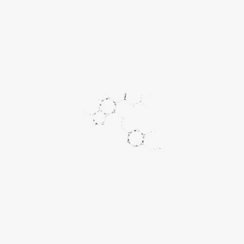 CCOC(=O)C(NC(=O)c1cnc2c(cnn2CC)c1NCc1ccc(OC)c(Cl)c1)C(=O)OCC